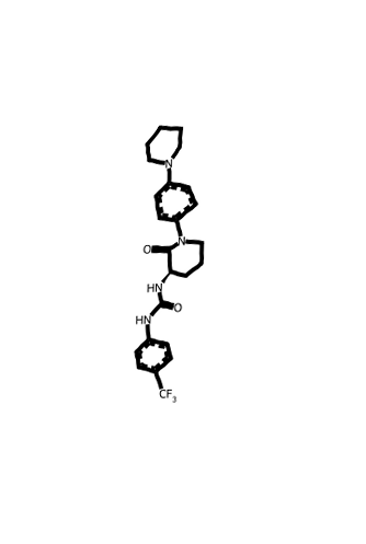 O=C(Nc1ccc(C(F)(F)F)cc1)N[C@@H]1CCCN(c2ccc(N3CCCCC3)cc2)C1=O